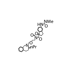 CCC[C@H]1CCc2ccccc2CN1COCCN1C(=O)O[C@@]2(CCc3cc(NC(=O)NC)ccc32)C1=O